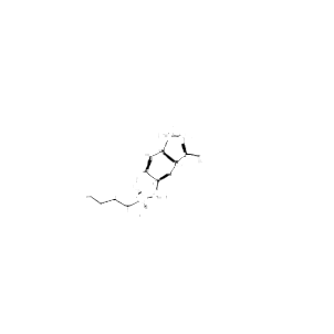 CCCCS(=O)(=O)Nc1ccc2[nH]nc(C)c2c1